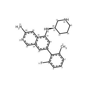 Cc1cccc(F)c1-c1cc(N[C@@H]2CCCNC2)c2cc(N)ncc2c1